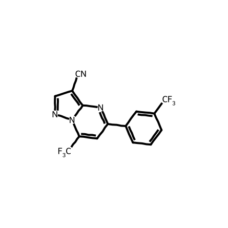 N#Cc1cnn2c(C(F)(F)F)cc(-c3cccc(C(F)(F)F)c3)nc12